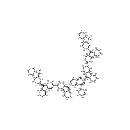 CC1(C)c2ccccc2-c2ccc(-n3c4ccccc4c4cc(-c5ccc6c(c5)c5ccccc5n6-c5ccc6nc(-n7c8ccccc8c8cc(-c9ccc%10c(c9)c9ccccc9n%10-c9ccc%10c(c9)C(C)(C)c9ccccc9-%10)ccc87)nc(-c7ccccc7)c6c5)ccc43)cc21